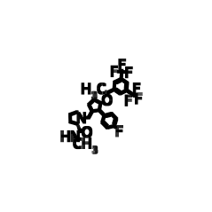 CNC(=O)[C@H]1CCCN1CC1CCC(O[C@H](C)c2cc(C(F)(F)F)cc(C(F)(F)F)c2)C1c1ccc(F)cc1